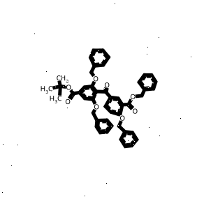 CC(C)(C)OC(=O)c1cc(OCc2ccccc2)c(C(=O)c2ccc(OCc3ccccc3)c(C(=O)OCc3ccccc3)c2)c(OCc2ccccc2)c1